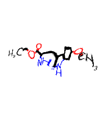 CCOC(=O)C(N)Cc1c[nH]c2cc(OC)ccc12